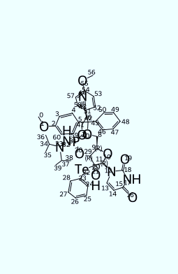 COc1ccc(C(OC[C@H]2O[C@@H](n3ccc(=O)[nH]c3=O)[C@@](O)([Te]c3ccccc3)[C@@H]2OP(NN(C(C)C)C(C)C)OCCC#N)(c2ccccc2)c2ccc(OC)cc2)cc1